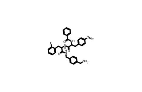 CCOc1ccc(CC(NC(=O)c2ccccc2)C(=O)NC(Cc2ccccc2F)C(=O)NCc2ccc(CN)cc2)cc1